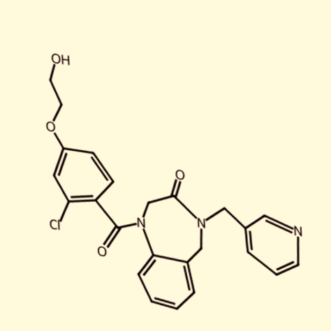 O=C1CN(C(=O)c2ccc(OCCO)cc2Cl)c2ccccc2CN1Cc1cccnc1